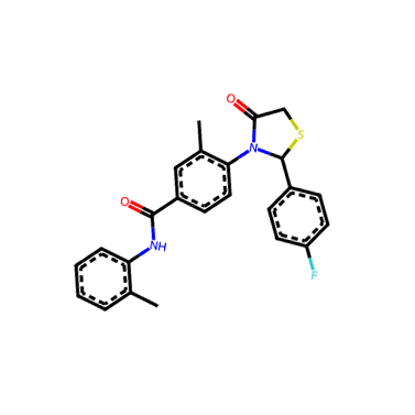 Cc1ccccc1NC(=O)c1ccc(N2C(=O)CSC2c2ccc(F)cc2)c(C)c1